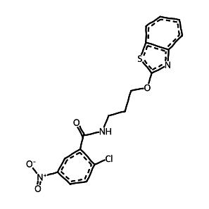 O=C(NCCCOc1nc2ccccc2s1)c1cc([N+](=O)[O-])ccc1Cl